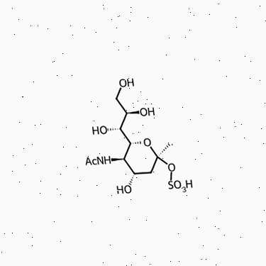 [CH2][C@]1(OS(=O)(=O)O)C[C@H](O)[C@@H](NC(C)=O)[C@H]([C@H](O)[C@H](O)CO)O1